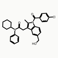 Cc1c(CC(=O)N(c2ccccc2)C2CCCCC2)c2cc(CO)ccc2n1C(=O)c1ccc(Cl)cc1